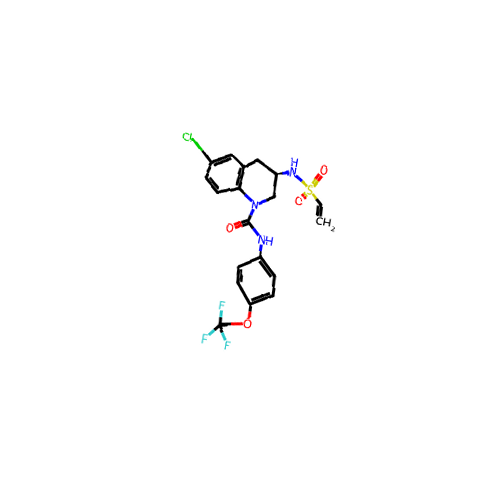 C=CS(=O)(=O)N[C@@H]1Cc2cc(Cl)ccc2N(C(=O)Nc2ccc(OC(F)(F)F)cc2)C1